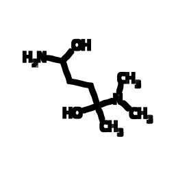 CN(C)C(C)(O)CCC(N)O